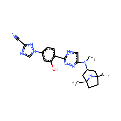 CN(c1cnc(-c2ccc(-n3cnc(C#N)n3)cc2O)nn1)[C@H]1C[C@]2(C)CC[C@](C)(C1)N2